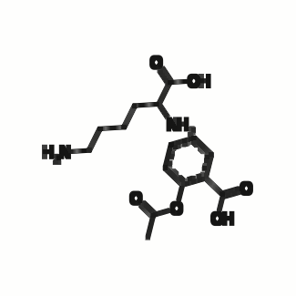 CC(=O)Oc1ccccc1C(=O)O.NCCCCC(N)C(=O)O